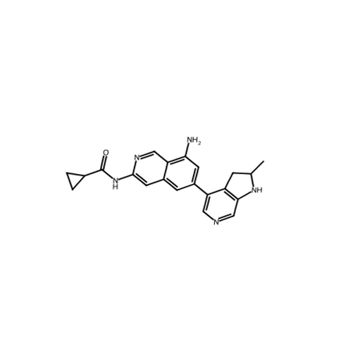 CC1Cc2c(cncc2-c2cc(N)c3cnc(NC(=O)C4CC4)cc3c2)N1